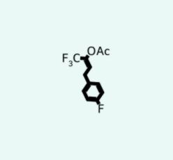 CC(=O)OC(=CCc1ccc(F)cc1)C(F)(F)F